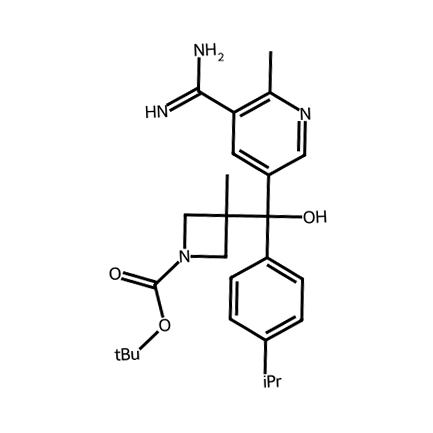 Cc1ncc(C(O)(c2ccc(C(C)C)cc2)C2(C)CN(C(=O)OC(C)(C)C)C2)cc1C(=N)N